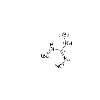 CC(C)(C)NC(=NC#N)NC(C)(C)C